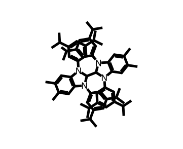 Cc1cc2c(cc1C)N(c1cc(C(C)C)cc(C(C)C)c1)C(C1N(c3cc(C(C)C)cc(C(C)C)c3)c3cc(C)c(C)cc3N1c1cc(C(C)C)cc(C(C)C)c1)N2c1cc(C(C)C)cc(C(C)C)c1